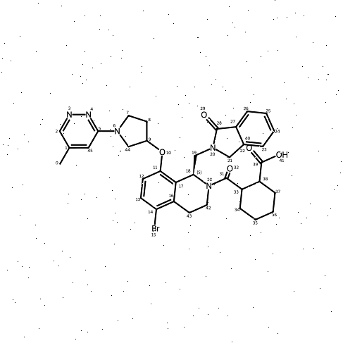 Cc1cnnc(N2CCC(Oc3ccc(Br)c4c3[C@@H](CN3Cc5ccccc5C3=O)N(C(=O)C3CCCCC3C(=O)O)CC4)C2)c1